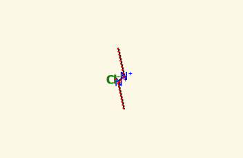 CCCCCCCCCCCCCCCCCC[N+](C)(C)CCCC[N+](C)(C)CCCCCCCCCCCCCCCCCC.[Cl-].[Cl-]